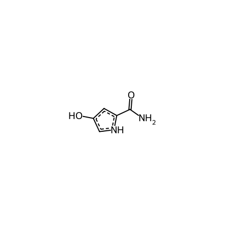 NC(=O)c1cc(O)c[nH]1